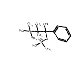 CC(C)(C(O)(O[Si](C)(C)O)c1ccccc1)[Si](C)(C)O